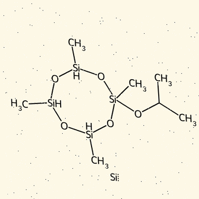 CC(C)O[Si]1(C)O[SiH](C)O[SiH](C)O[SiH](C)O1.[Si]